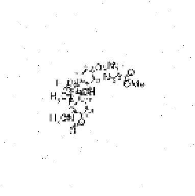 COC(=O)c1cnc(Oc2ccc([C@@H](C)[C@@](O)(c3ccc4oc(=O)n(C)c4c3)C(C)(F)F)c(Cl)c2)nc1